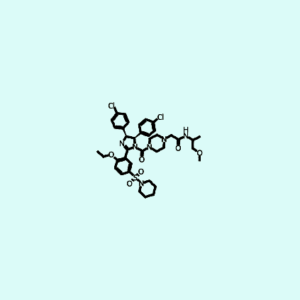 CCOc1ccc(S(=O)(=O)N2CCCCC2)cc1C1=N[C@@H](c2ccc(Cl)cc2)[C@@H](c2ccc(Cl)cc2)N1C(=O)N1CCN(CC(=O)NC(C)COC)CC1